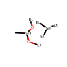 CCO[SiH](C)OCC.CC[SiH](CC)CC